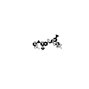 Cc1ccnc([C@H]2C[C@@H]2c2cc(N3CCC3)c3ccc(NCc4cn5cc(C6CC6)cc(N6CC(=O)N(C)C6=O)c5n4)cc3n2)n1